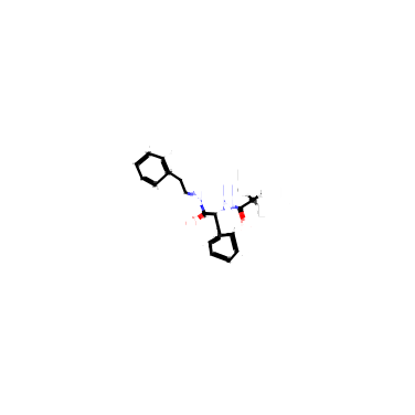 CCC(C)(C)C(=O)N[C@@H](C(=O)NCCc1ccccc1)c1ccccc1